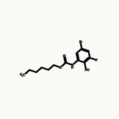 CCCCCCOC(=O)Nc1cc(Br)cc(F)c1O